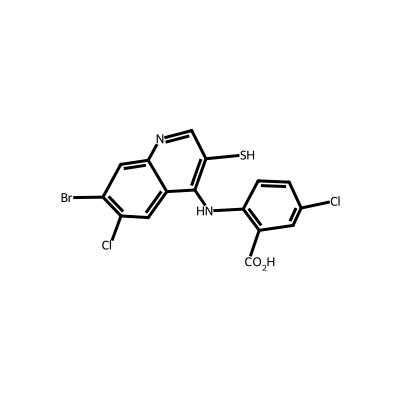 O=C(O)c1cc(Cl)ccc1Nc1c(S)cnc2cc(Br)c(Cl)cc12